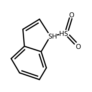 O=[SH](=O)[SH]1C=Cc2ccccc21